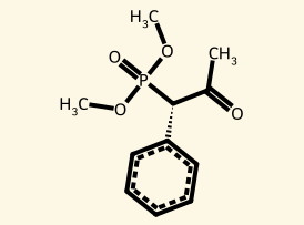 COP(=O)(OC)[C@H](C(C)=O)c1ccccc1